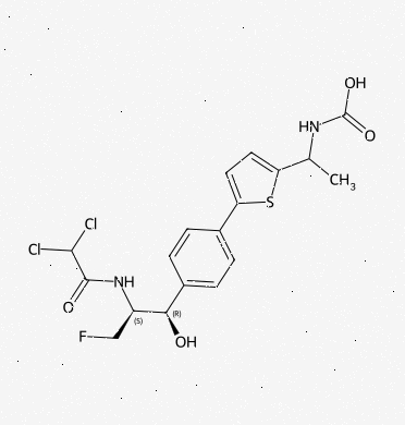 CC(NC(=O)O)c1ccc(-c2ccc([C@@H](O)[C@@H](CF)NC(=O)C(Cl)Cl)cc2)s1